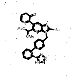 CCCCc1nc2cc(C3=NC=CCC3=O)c(C(OC)OC)nc2n1Cc1ccc(-c2ccccc2-c2nnn[nH]2)cc1